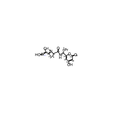 CCCC(NC(=O)C1CSC(/C(C)=N/O)=N1)c1cc(O)cc(=O)o1